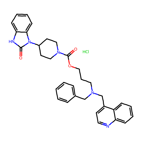 Cl.O=C(OCCCN(Cc1ccccc1)Cc1ccnc2ccccc12)N1CCC(n2c(=O)[nH]c3ccccc32)CC1